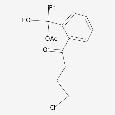 CC(=O)OC(O)(c1ccccc1C(=O)CCCCl)C(C)C